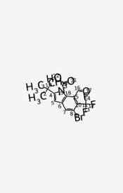 CC(C)(C)c1cc2cc(Br)c(C(F)(F)F)c(C=O)c2n1C(=O)O